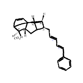 O=C(O)[C@H]1C2C=CC3[C@H]4C(C[C@@H]31)[C@H](C/C=C/C=C/c1ccccc1)[C@@H]24